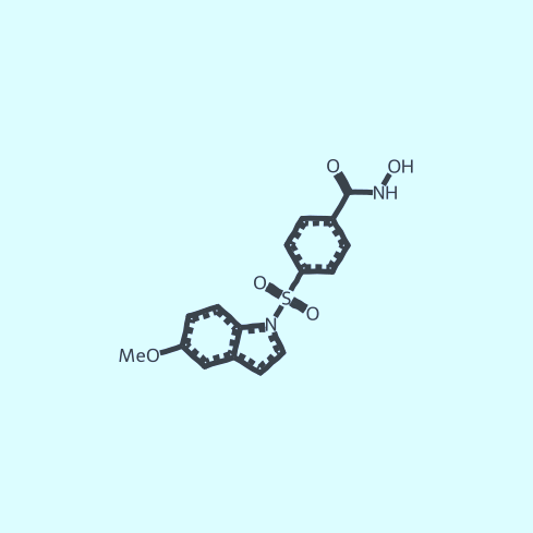 COc1ccc2c(ccn2S(=O)(=O)c2ccc(C(=O)NO)cc2)c1